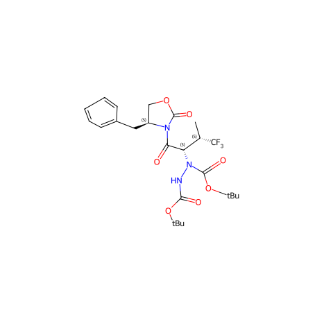 C[C@@H]([C@@H](C(=O)N1C(=O)OC[C@@H]1Cc1ccccc1)N(NC(=O)OC(C)(C)C)C(=O)OC(C)(C)C)C(F)(F)F